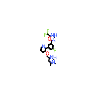 C/N=C(\OC(=N)C(F)F)c1cc(F)cc(-c2ncccc2OCC(=N)/C=C(/C)N(C)C)c1